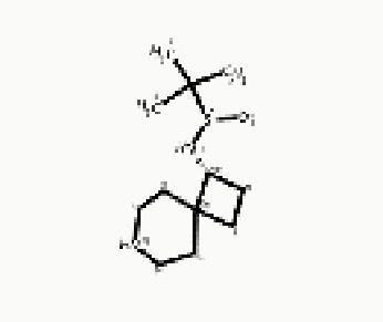 CC(C)(C)[S+]([O-])N[C@@H]1CCC12CCNCC2